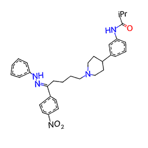 CC(C)C(=O)Nc1cccc(C2CCN(CCCC/C(=N\Nc3ccccc3)c3ccc([N+](=O)[O-])cc3)CC2)c1